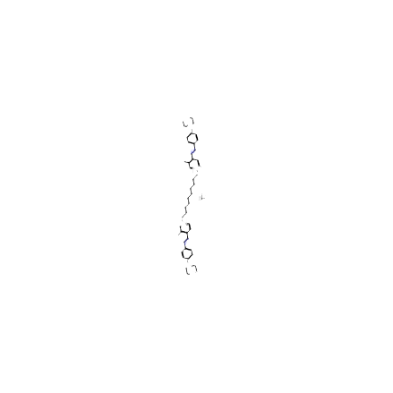 Cc1c[n+](CCCCCCCCCC[n+]2ccc(/C=C/c3ccc(N4CCOCC4)cc3)c(C)c2)ccc1/C=C/c1ccc(N2CCOCC2)cc1.[Br-].[Br-]